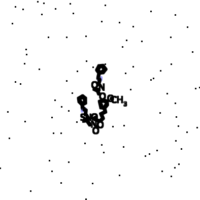 COc1cc(CCCC2OC(=O)N(Cc3csc(/C=C/c4ccccc4)n3)C2=O)ccc1OCc1coc(/C=C/c2ccccc2)n1